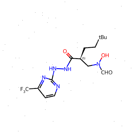 CC(C)(C)CC[C@@H](CN(O)C=O)C(=O)NNc1nccc(C(F)(F)F)n1